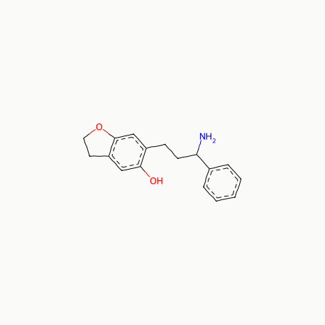 NC(CCc1cc2c(cc1O)CCO2)c1ccccc1